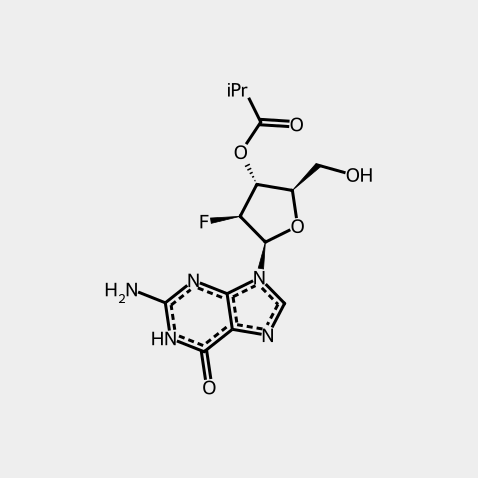 CC(C)C(=O)O[C@H]1[C@H](F)[C@H](n2cnc3c(=O)[nH]c(N)nc32)O[C@@H]1CO